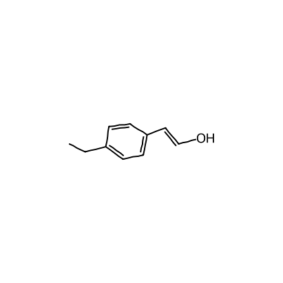 CCc1ccc(C=CO)cc1